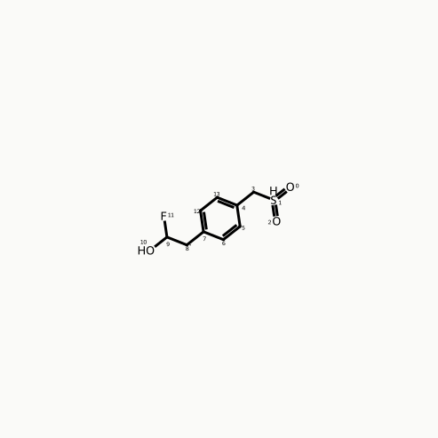 O=[SH](=O)Cc1ccc([CH]C(O)F)cc1